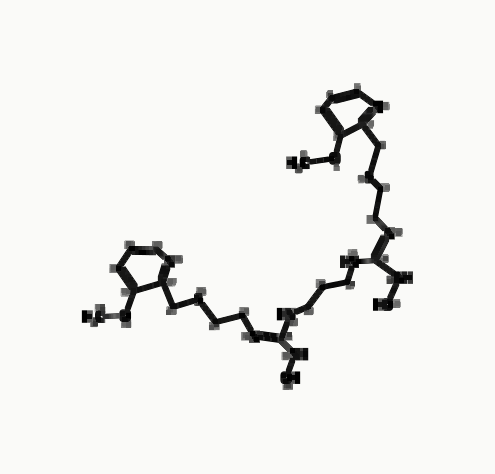 COc1cccnc1CSCC/N=C(/NO)NCCCN/C(=N\CCSCc1ncccc1OC)NO